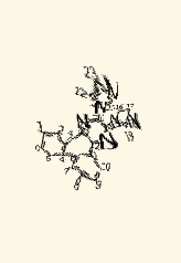 c1ccc2c(c1)c1ccccc1c1nc(-n3ccnc3)c(-n3ccnc3)nc21